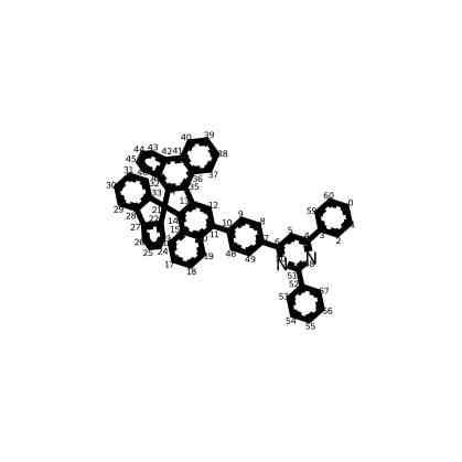 c1ccc(-c2cc(-c3ccc(-c4cc5c(c6ccccc46)C4(c6ccccc6-c6ccccc64)c4c-5c5ccccc5c5ccccc45)cc3)nc(-c3ccccc3)n2)cc1